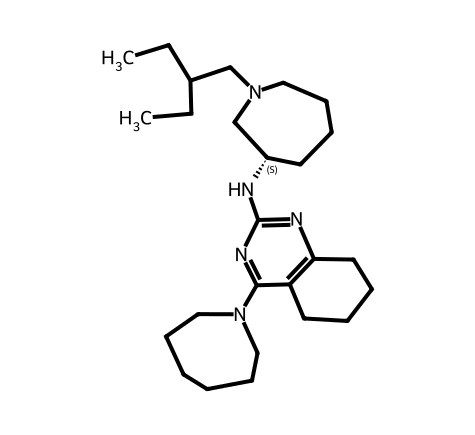 CCC(CC)CN1CCCC[C@H](Nc2nc3c(c(N4CCCCCC4)n2)CCCC3)C1